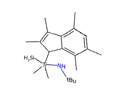 CC1=C(C)[CH]([Ti]([CH3])([CH3])([SiH3])[NH]C(C)(C)C)c2c(C)c(C)cc(C)c21